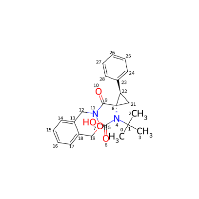 CC(C)(C)N(C(=O)O)[C@@]1(C(=O)N2Cc3ccccc3CO2)C[C@@H]1c1ccccc1